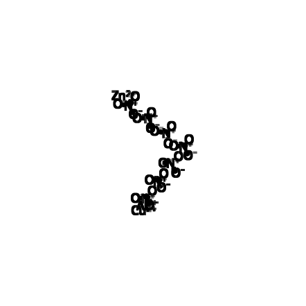 O=[N+]([O-])[O-].O=[N+]([O-])[O-].O=[N+]([O-])[O-].O=[N+]([O-])[O-].O=[N+]([O-])[O-].O=[N+]([O-])[O-].O=[N+]([O-])[O-].[Al+3].[Cu+2].[Zn+2]